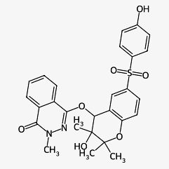 Cn1nc(OC2c3cc(S(=O)(=O)c4ccc(O)cc4)ccc3OC(C)(C)C2(C)O)c2ccccc2c1=O